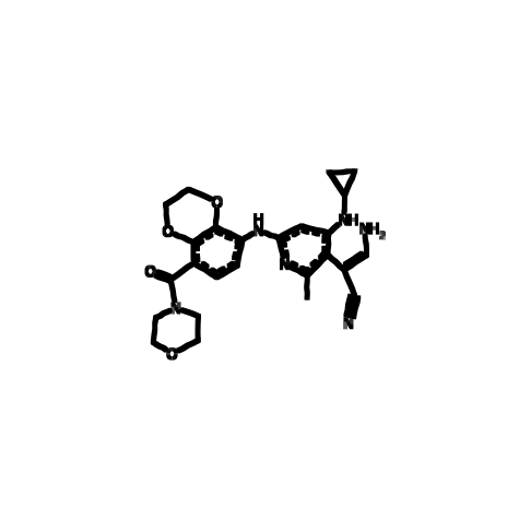 Cc1nc(Nc2ccc(C(=O)N3CCOCC3)c3c2OCCO3)cc(NC2CC2)c1/C(C#N)=C\N